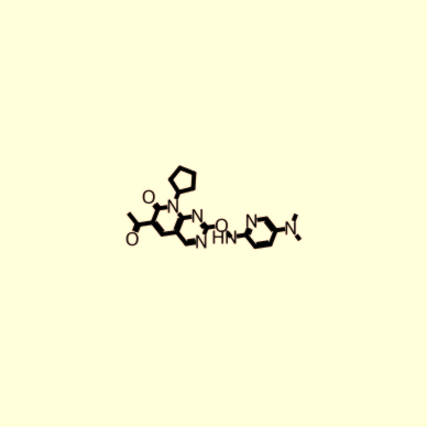 CC(=O)c1cc2cnc(ONc3ccc(N(C)C)cn3)nc2n(C2CCCC2)c1=O